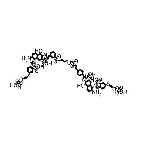 Nc1ccc2c(O)c(N=Nc3ccc(CCS(=O)(=O)COCCCCS(=O)(=O)c4cccc(N=Nc5c(S(=O)(=O)O)cc6c(N=Nc7ccc(SC#COOS(=O)(=O)O)cc7S(=O)(=O)O)c(N)ccc6c5O)c4)cc3)c(S(=O)(=O)O)cc2c1N=Nc1ccc(SC#COOS(=O)(=O)O)cc1S(=O)(=O)O